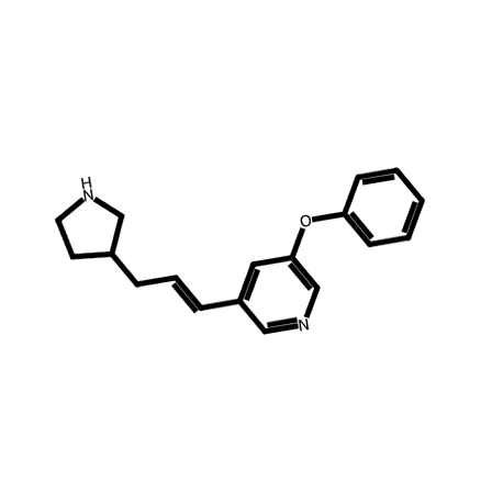 C(=Cc1cncc(Oc2ccccc2)c1)CC1CCNC1